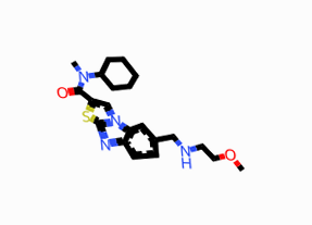 COCCNCc1ccc2nc3sc(C(=O)N(C)C4CCCCC4)cn3c2c1